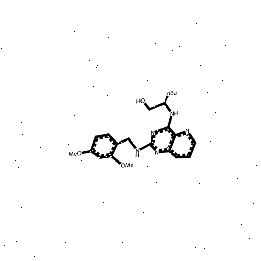 CCCC[C@H](CO)Nc1nc(NCc2ccc(OC)cc2OC)nc2cccnc12